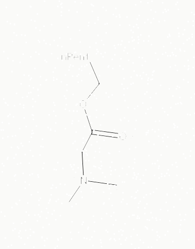 CCCCCCOC(=O)CN(C)C